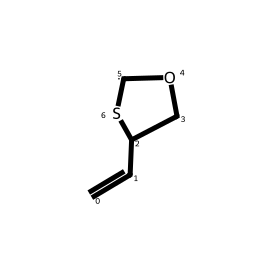 C=CC1CO[CH]S1